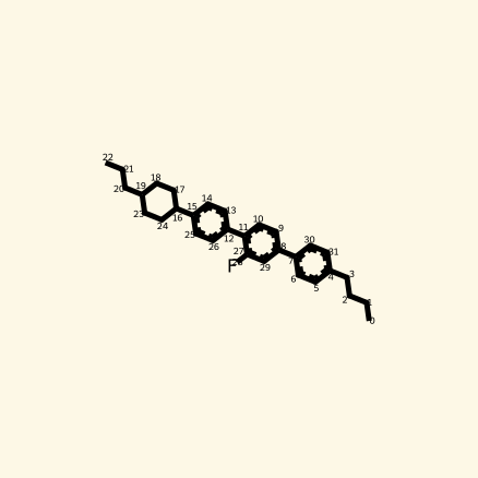 CCCCc1ccc(-c2ccc(-c3ccc(C4CCC(CCC)CC4)cc3)c(F)c2)cc1